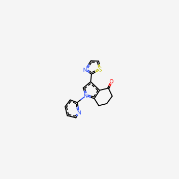 O=C1CCCc2c1c(-c1nccs1)cn2-c1ccccn1